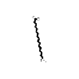 CC/C=C/C/C=C/C/C=C/CCCCCCCC(=O)Cl